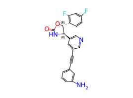 Nc1cccc(C#Cc2cncc([C@H]3NC(=O)O[C@@H]3c3ccc(F)cc3F)c2)c1